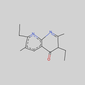 CCc1nc2c(cc1C)C(=O)C(CC)C(C)=N2